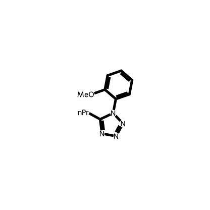 CCCc1nnnn1-c1ccccc1OC